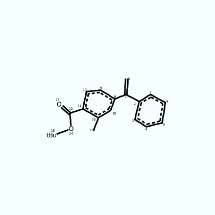 C=C(c1ccccc1)c1ccc(C(=O)OC(C)(C)C)c(C)c1